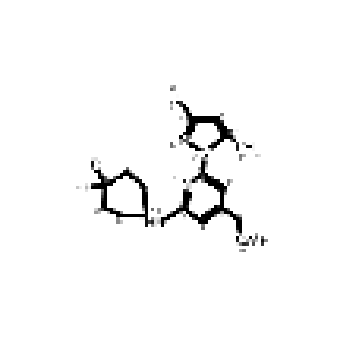 COCc1cc(NC2CCC(F)(F)CC2)nc(-n2nc(C)cc2C)c1